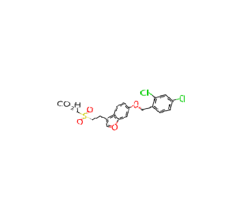 O=C(O)CS(=O)(=O)CCc1coc2cc(OCc3ccc(Cl)cc3Cl)ccc12